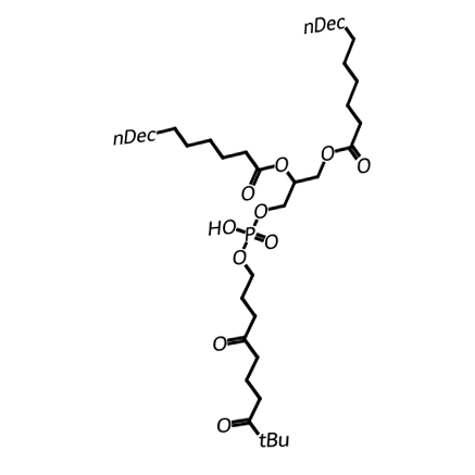 CCCCCCCCCCCCCCCC(=O)OCC(COP(=O)(O)OCCCC(=O)CCCC(=O)C(C)(C)C)OC(=O)CCCCCCCCCCCCCCC